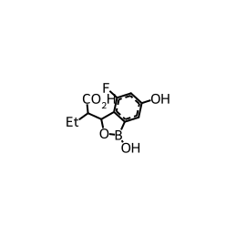 CCC(C(=O)O)C1OB(O)c2cc(O)cc(F)c21